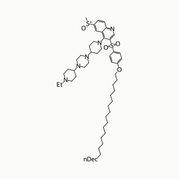 CCCCCCCCCCCCCCCCCCCCCCCCCCOc1ccc(S(=O)(=O)c2cnc3ccc([S+](C)[O-])cc3c2N2CCC(N3CCN(C4CCN(CC)CC4)CC3)CC2)cc1